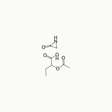 CCC(OC(C)=O)C(=O)O.O=C1CN1